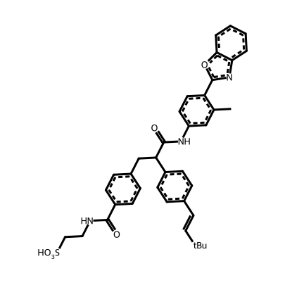 Cc1cc(NC(=O)C(Cc2ccc(C(=O)NCCS(=O)(=O)O)cc2)c2ccc(/C=C/C(C)(C)C)cc2)ccc1-c1nc2ccccc2o1